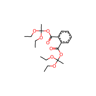 CCOC(C)(OCC)OC(=O)c1ccccc1C(=O)OC(C)(OCC)OCC